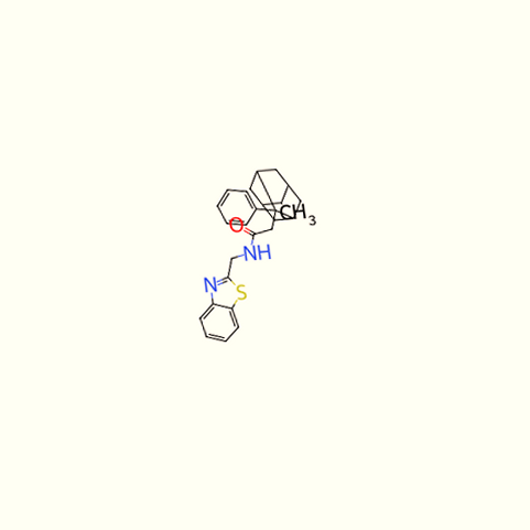 CC1C2CC3CC1CC(C2)C3(CC(=O)NCc1nc2ccccc2s1)c1ccccc1